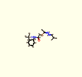 C/C(=N/N=C/C(C)C)SCC(=O)Nc1ccccc1C(C)C